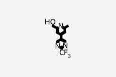 Cc1cc(-c2cnc(C(F)(F)F)nc2)cc(CO)n1